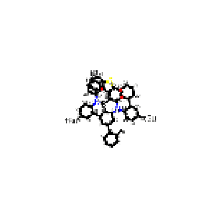 Cc1ccccc1-c1cc2c3c(c1)N(c1ccc(C(C)(C)C)cc1-c1ccccc1)c1ccc4sc5ccccc5c4c1B3N(c1ccc(C(C)(C)C)cc1)c1ccc(C(C)(C)C)cc1-2